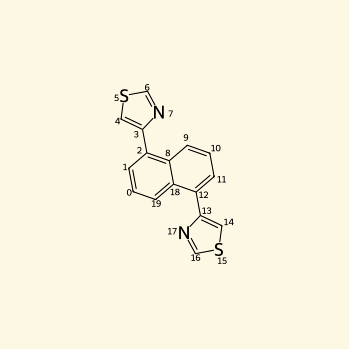 c1cc(-c2cscn2)c2cccc(-c3cscn3)c2c1